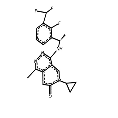 Cc1nnc(N[C@H](C)c2cccc(C(F)F)c2F)c2cn(C3CC3)c(=O)cc12